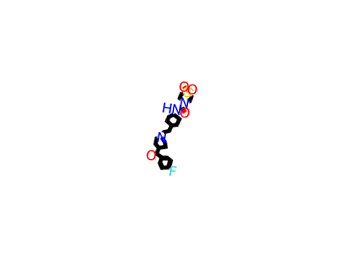 O=C(c1ccc(F)cc1)C1CCN(CCC2CCC(NC(=O)N3CCS(=O)(=O)CC3)CC2)CC1